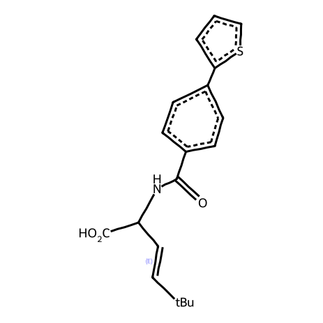 CC(C)(C)/C=C/C(NC(=O)c1ccc(-c2cccs2)cc1)C(=O)O